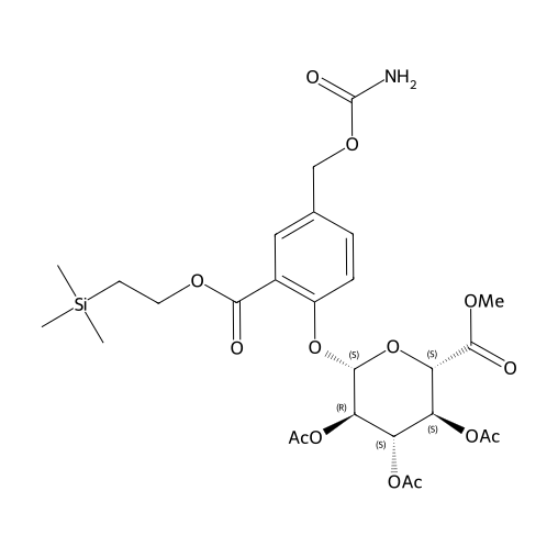 COC(=O)[C@H]1O[C@@H](Oc2ccc(COC(N)=O)cc2C(=O)OCC[Si](C)(C)C)[C@H](OC(C)=O)[C@@H](OC(C)=O)[C@@H]1OC(C)=O